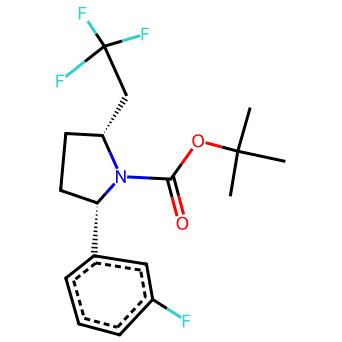 CC(C)(C)OC(=O)N1[C@@H](CC(F)(F)F)CC[C@H]1c1cccc(F)c1